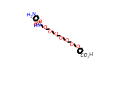 Nc1ccc(S(=O)(=O)NCCOCCOCCOCCOCCOCCOCCOc2ccc(C(=O)O)cc2)cc1